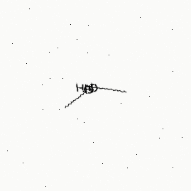 CCCCCCCCCCCCCCCCCCONC(CC)OCCCCCCCCCCCCCCCC